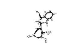 O=c1[nH]c(-c2cc(Cl)cc(Cl)c2O)nc2ccccc12